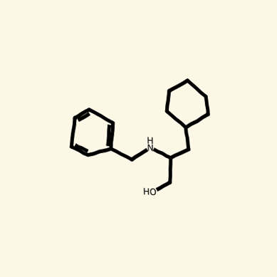 OCC(CC1CCCCC1)NCc1ccccc1